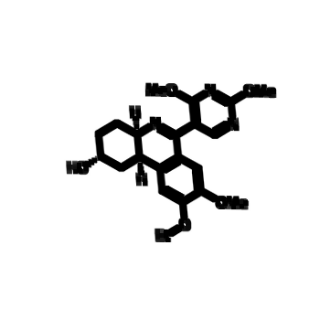 CCOc1cc2c(cc1OC)C(c1cnc(OC)nc1OC)=N[C@@H]1CC[C@@H](O)C[C@H]21